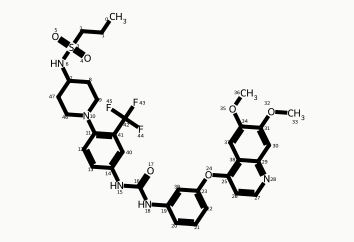 CCCS(=O)(=O)NC1CCN(c2ccc(NC(=O)Nc3cccc(Oc4ccnc5cc(OC)c(OC)cc45)c3)cc2C(F)(F)F)CC1